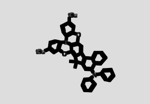 CC(C)(C)c1ccc2c(c1)Oc1cc3c(c4c1B2c1ccc(C(C)(C)C)cc1O4)C(C)(C)c1cc(N(c2ccccc2)c2ccccc2)c2ccccc2c1-3